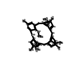 CCCCOc1c2cc(Br)cc1Cc1cc(Br)cc(c1OCCCC)Cc1cc(Br)cc(c1OCCCC)Cc1cc(Br)cc(c1OCCCC)C2